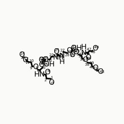 O=CCC(=O)NC(COCCCOC=O)COP(=O)(O)OCCNC(=O)NCCOP(=O)(O)OCC(COCCCOC=O)NC(=O)CC=O